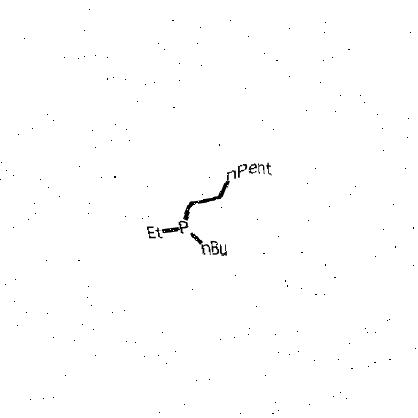 CCCCCCCP(CC)CCCC